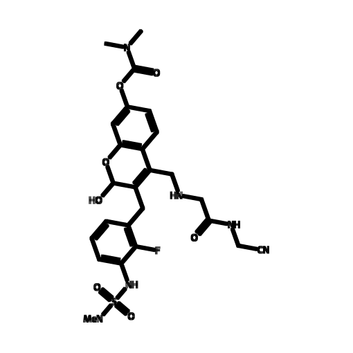 CNS(=O)(=O)Nc1cccc(CC2=C(CNCC(=O)NCC#N)c3ccc(OC(=O)N(C)C)cc3OC2O)c1F